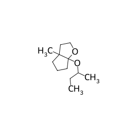 CCC(C)OC12CCCC1(C)CCO2